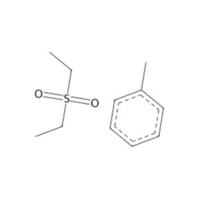 CCS(=O)(=O)CC.Cc1ccccc1